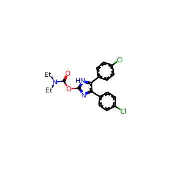 CCN(CC)C(=O)Oc1nc(-c2ccc(Cl)cc2)c(-c2ccc(Cl)cc2)[nH]1